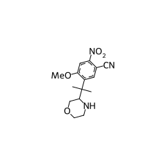 COc1cc([N+](=O)[O-])c(C#N)cc1C(C)(C)C1COCCN1